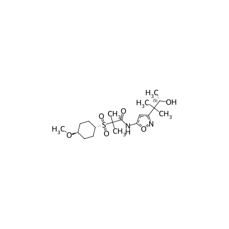 CO[C@H]1CC[C@H](S(=O)(=O)C(C)(C)C(=O)Nc2cc(C(C)(C)[C@H](C)O)no2)CC1